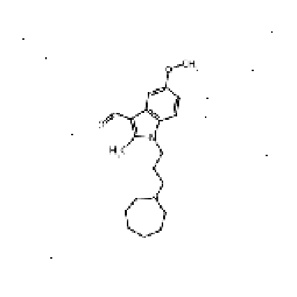 COc1ccc2c(c1)c(C=O)c(C)n2CCCN1CCCCCC1